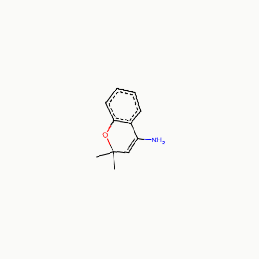 CC1(C)C=C(N)c2ccccc2O1